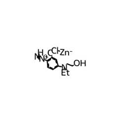 CCN(CCO)c1ccc([N+]#N)c(C)c1.[Cl][Zn-]